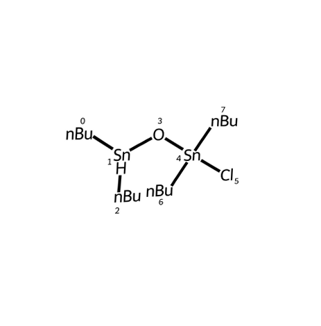 CCC[CH2][SnH]([CH2]CCC)[O][Sn]([Cl])([CH2]CCC)[CH2]CCC